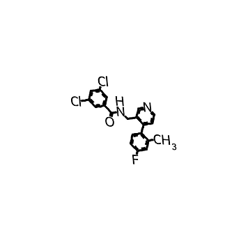 Cc1cc(F)ccc1-c1ccncc1CNC(=O)c1cc(Cl)cc(Cl)c1